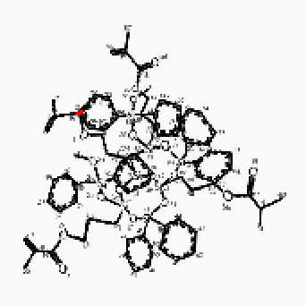 C=C(C)C(=O)OCCC[Si]12O[Si](CCCOC(=O)C(=C)C)(O[Si](OC)(c3ccccc3)c3ccccc3)O[Si](c3ccccc3)(c3ccccc3)O[Si](CCCOC(=O)C(C)C)(O1)O[Si](c1ccccc1)(c1ccccc1)O[Si](CCCOC(=O)C(=C)C)(O[Si](OC)(c1ccccc1)c1ccccc1)O2